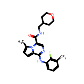 Cc1ccc2c(Nc3cccc(C(F)(F)F)c3F)ncc(C(=O)NCC3CCOCC3)n12